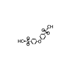 C#CS(=O)(=O)c1ccc(Oc2ccc(S(=O)(=O)C#C)cc2)cc1